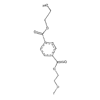 O=C(OCCO)c1ccc(C(=O)OCCOI)cc1